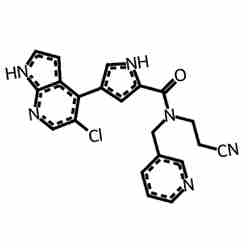 N#CCCN(Cc1cccnc1)C(=O)c1cc(-c2c(Cl)cnc3[nH]ccc23)c[nH]1